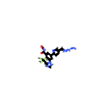 [N-]=[N+]=NCc1ccc(-c2cc(C(=O)N=O)cc(-n3ncnc3C(F)(F)F)c2)nc1